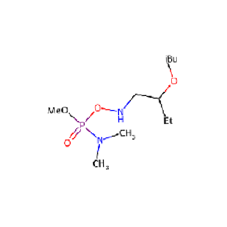 CCC(C)OC(CC)CNOP(=O)(OC)N(C)C